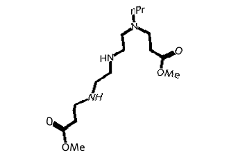 CCCN(CCNCCNCCC(=O)OC)CCC(=O)OC